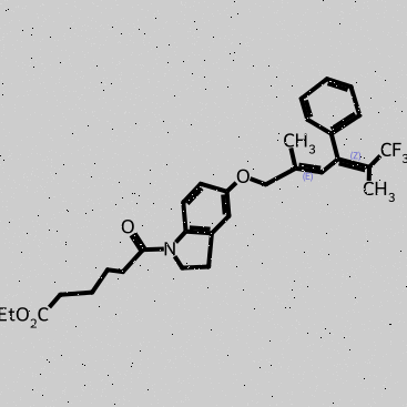 CCOC(=O)CCCCC(=O)N1CCc2cc(OC/C(C)=C/C(=C(\C)C(F)(F)F)c3ccccc3)ccc21